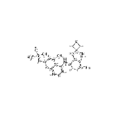 Cc1cc(N=S(C)(C)=O)cc2ncnc(Nc3ccc(F)cc3OC3(C)CCC3)c12